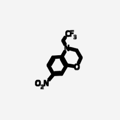 O=[N+]([O-])c1ccc2c(c1)OCCN2CC(F)(F)F